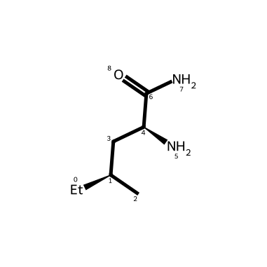 CC[C@H](C)C[C@H](N)C(N)=O